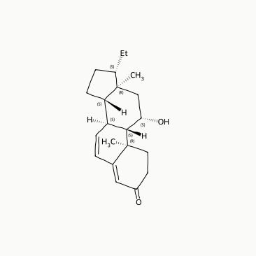 CC[C@H]1CC[C@H]2[C@@H]3C=CC4=CC(=O)CC[C@]4(C)[C@H]3[C@@H](O)C[C@]12C